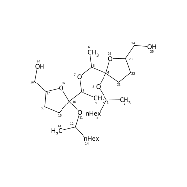 CCCCCCC(C)OC1(C(C)OC(C)C2(OC(C)CCCCCC)CCC(CO)O2)CCC(CO)O1